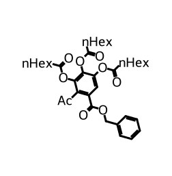 CCCCCCC(=O)Oc1cc(C(=O)OCc2ccccc2)c(C(C)=O)c(OC(=O)CCCCCC)c1OC(=O)CCCCCC